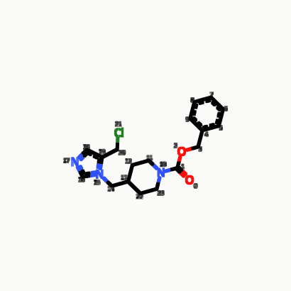 O=C(OCc1ccccc1)N1CCC(Cn2cncc2CCl)CC1